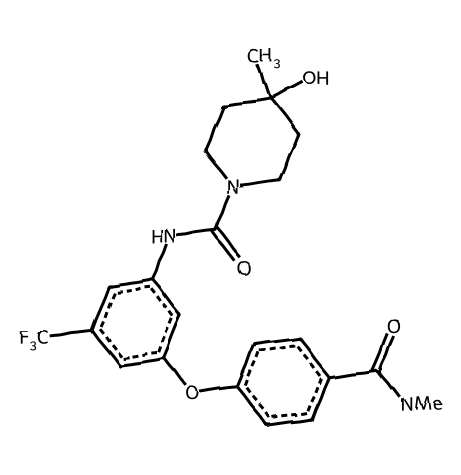 CNC(=O)c1ccc(Oc2cc(NC(=O)N3CCC(C)(O)CC3)cc(C(F)(F)F)c2)cc1